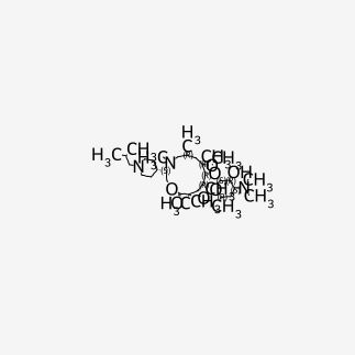 CO[C@]1(C)C[C@@H](C)CN(C)[C@@H](C2CCN(CC(C)C)CC2)COC(=O)C(C)(C)C(=O)[C@H](C)[C@H]1O[C@@H]1O[C@H](C)C[C@H](N(C)C)[C@H]1O